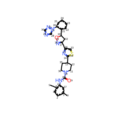 Cc1ccc(C)c(NC(=O)N2CCC(c3nc(C4=NOC(c5ccccc5-n5cncn5)C4)cs3)CC2)c1